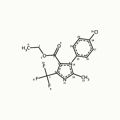 CCOC(=O)c1c(C(F)(F)F)nc(C)n1-c1ccc(Cl)cc1